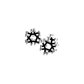 FC(F)(F)C1(F)C(F)(F)C(F)(F)C(F)(F)C(F)(F)C1(F)F.FC1(F)C(F)(F)C(F)(F)C(F)(F)C(F)(F)C1(F)F